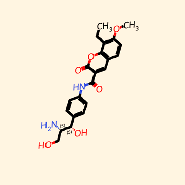 CCc1c(OC)ccc2cc(C(=O)Nc3ccc([C@H](O)[C@@H](N)CO)cc3)c(=O)oc12